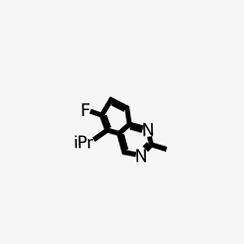 Cc1ncc2c(C(C)C)c(F)ccc2n1